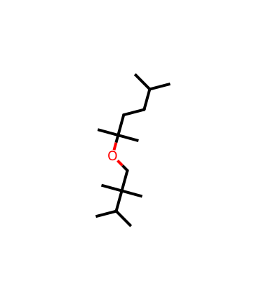 CC(C)CCC(C)(C)OCC(C)(C)C(C)C